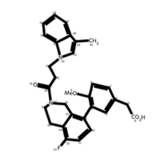 COc1ccc(CC(=O)O)cc1-c1ccc(F)c2c1CN(C(=O)CCn1cc(C)c3ccccc31)CC2